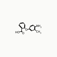 Cc1cc(Oc2ccccc2C(=O)O)ccc1N